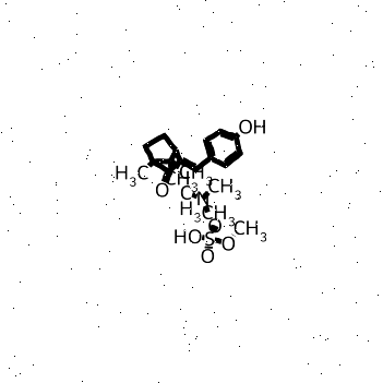 CC12CCC(C(=Cc3ccc(O)cc3)C1=O)C2(C)C.CN(C)C.COS(=O)(=O)O